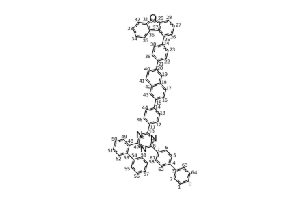 c1ccc(-c2ccc(-c3nc(-c4ccc(-c5ccc6cc(-c7ccc(-c8cccc9oc%10ccccc%10c89)cc7)ccc6c5)cc4)nc(-c4ccccc4-c4ccccc4)n3)cc2)cc1